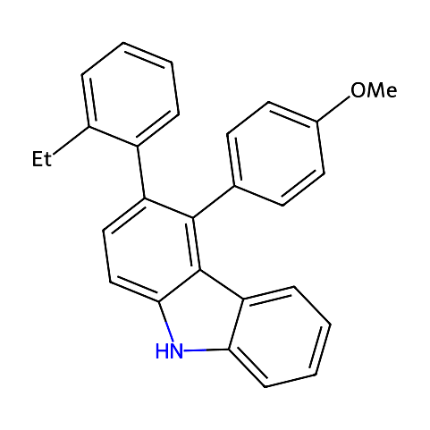 CCc1ccccc1-c1ccc2[nH]c3ccccc3c2c1-c1ccc(OC)cc1